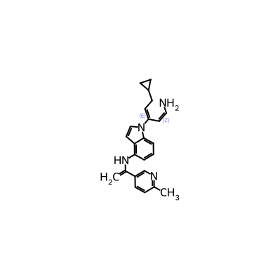 C=C(Nc1cccc2c1ccn2C(/C=C\N)=C/CC1CC1)c1ccc(C)nc1